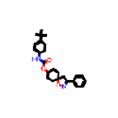 CC(C)(C)c1ccc(NC(=O)OC2CCC3(CC2)CC(c2ccccc2)=NO3)cc1